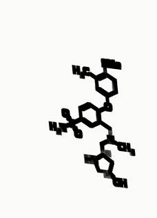 CSc1ccc(Oc2ccc(S(N)(=O)=O)cc2CN(C)C[C@H]2C[C@@H](O)CN2)cc1C